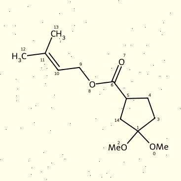 COC1(OC)CCC(C(=O)OCC=C(C)C)C1